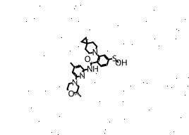 Cc1cc(NC(=O)c2ccc(SO)cc2N2CCC3(CC2)CC3)nc(N2CCO[C@H](C)C2)c1